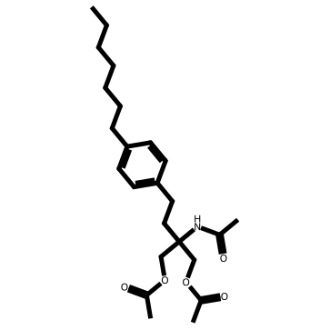 CCCCCCCc1ccc(CCC(COC(C)=O)(COC(C)=O)NC(C)=O)cc1